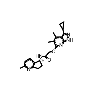 Cc1ccc2c(n1)CC[C@@H]2NC(=O)COc1nc2[nH]nc(C3CC3)c2c(C)c1C